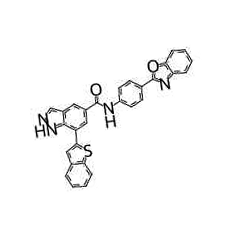 O=C(Nc1ccc(-c2nc3ccccc3o2)cc1)c1cc(-c2cc3ccccc3s2)c2[nH]ncc2c1